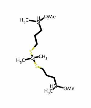 CO[SiH](C)CCCS[Si](C)(C)SCCC[SiH](C)OC